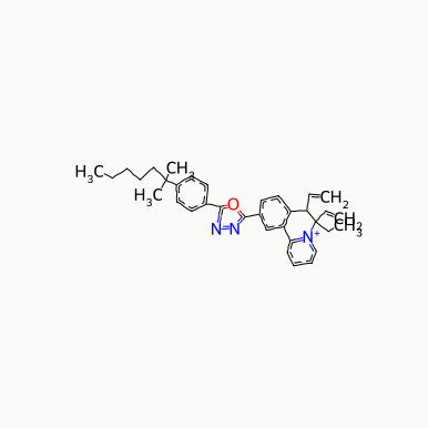 C=CC1c2ccc(-c3nnc(-c4ccc(C(C)(C)CCCCC)cc4)o3)cc2-c2cccc[n+]2C1(C=C)CC